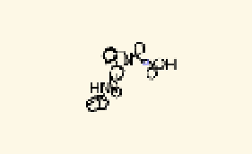 O=C(O)/C=C/C(=O)N1Cc2ccccc2C2(CCN(C(=O)NC3C4CC5CC(C4)CC3C5)CC2)C1